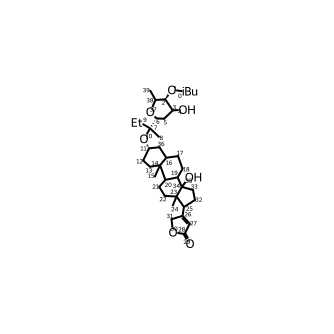 CCC(C)O[C@H]1C(O)C[C@H](C(C)(CC)O[C@H]2CCC3(C)C(CCC4C3CCC3(C)C(C5=CC(=O)OC5)CCC43O)C2)OC1C